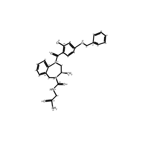 C[C@@H]1CN(C(=O)c2ccc(OCc3ccccc3)cc2Cl)c2ccccc2CN1C(=O)NCC(N)=O